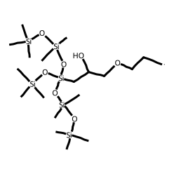 [CH2]CCOCC(O)C[Si](O[Si](C)(C)C)(O[Si](C)(C)O[Si](C)(C)C)O[Si](C)(C)O[Si](C)(C)C